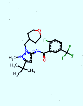 Cn1c(C(C)(C)C)c/c(=N\C(=O)c2cc(C(F)(F)F)ccc2F)n1CC1CCOCC1